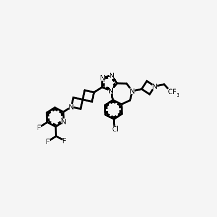 Fc1ccc(N2CC3(CC(c4nnc5n4-c4ccc(Cl)cc4CN(C4CN(CC(F)(F)F)C4)C5)C3)C2)nc1C(F)F